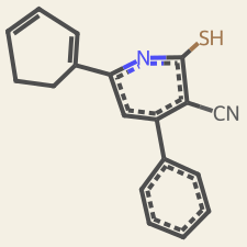 N#Cc1c(-c2ccccc2)cc(C2=CC=CCC2)nc1S